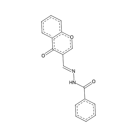 O=C(N/N=C/c1coc2ccccc2c1=O)c1ccccc1